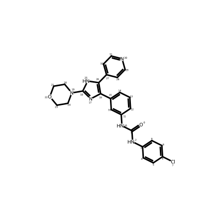 O=C(Nc1ccc(Cl)cc1)Nc1cccc(-c2nc(N3CCOCC3)[nH]c2-c2ccncc2)c1